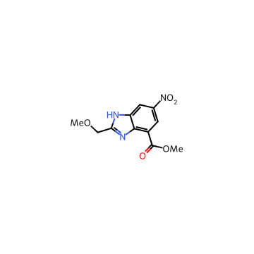 COCc1nc2c(C(=O)OC)cc([N+](=O)[O-])cc2[nH]1